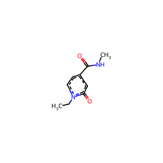 CCn1ccc(C(=O)NC)cc1=O